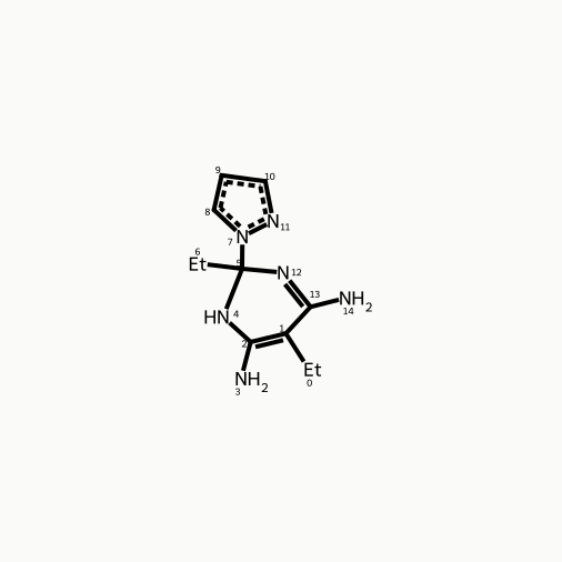 CCC1=C(N)NC(CC)(n2cccn2)N=C1N